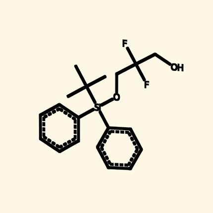 CC(C)(C)[Si](OCC(F)(F)CO)(c1ccccc1)c1ccccc1